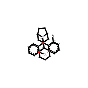 Clc1ccccc1C(c1ccccc1Cl)N1C2CCC1CC(C1CCCCN1)C2